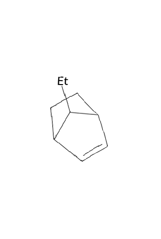 CCC1C2C=CC1CC2